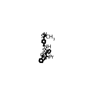 Cc1ncsc1-c1ccc(CNC(=S)[C@@H]2CCCN2C(=O)C(C(C)C)N2Cc3ccccc3C2=O)cc1